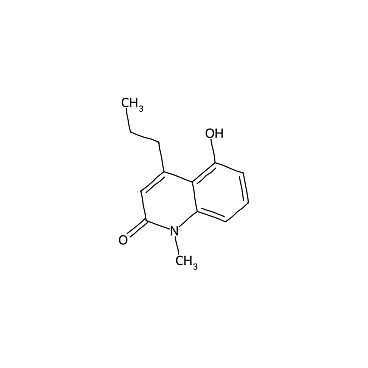 CCCc1cc(=O)n(C)c2cccc(O)c12